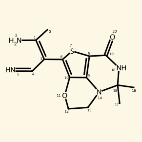 C/C(N)=C(/C=N)c1sc2c3c1OCCN3C(C)(C)NC2=O